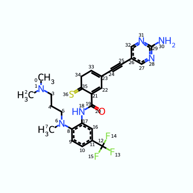 CN(C)CCCN(C)c1ccc(C(F)(F)F)cc1NC(=O)C1=CC(C#Cc2cnc(N)nc2)=CCC1=S